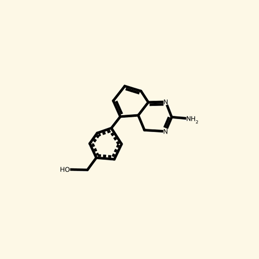 NC1=NCC2C(c3ccc(CO)cc3)=CC=CC2=N1